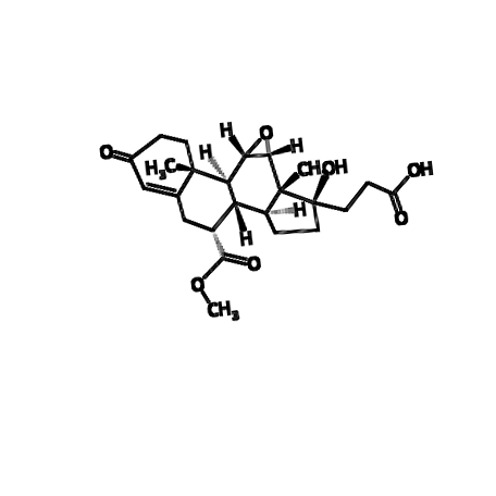 COC(=O)[C@@H]1CC2=CC(=O)CC[C@]2(C)[C@H]2[C@@H]3O[C@@H]3[C@@]3(C)[C@@H](CC[C@@]3(O)CCC(=O)O)[C@@H]21